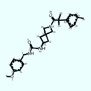 COc1ccc(CNC(=O)NC2CC3(C2)CN(C(=O)C(C)(C)c2ccc(C)cc2)C3)cc1